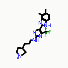 Cc1ccc2[nH]c(-c3cnc(NCCCC4CCN(C)CC4)nc3C(F)(F)F)nc2c1C